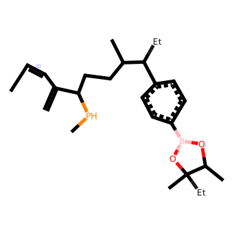 C=C(/C=C\C)C(CCC(C)C(CC)c1ccc(B2OC(C)C(C)(CC)O2)cc1)PC